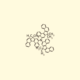 CC1(C)c2ccc3ccccc3c2-c2c1cc(N(c1cc3c(c4ccccc14)-c1c(ccc4ccccc14)C3(C)C)c1cc3c(c4ccccc14)-c1c(ccc4ccccc14)C3(C)C)c1ccccc21